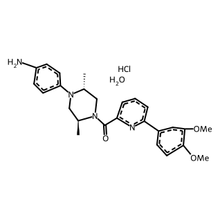 COc1ccc(-c2cccc(C(=O)N3C[C@@H](C)N(c4ccc(N)cc4)C[C@@H]3C)n2)cc1OC.Cl.O